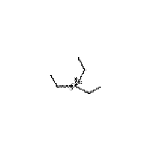 CCCCCCCC/C=C\CCCCCCCCC(CCCN(C)C)(COC(=O)CCCCCCC/C=C\CCCCCCCC)COC(=O)CCCCCCC/C=C\CCCCCCCC